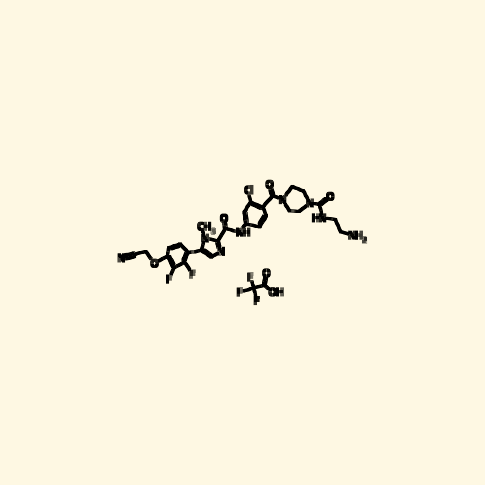 Cn1c(-c2ccc(OCC#N)c(F)c2F)cnc1C(=O)Nc1ccc(C(=O)N2CCN(C(=O)NCCN)CC2)c(Cl)c1.O=C(O)C(F)(F)F